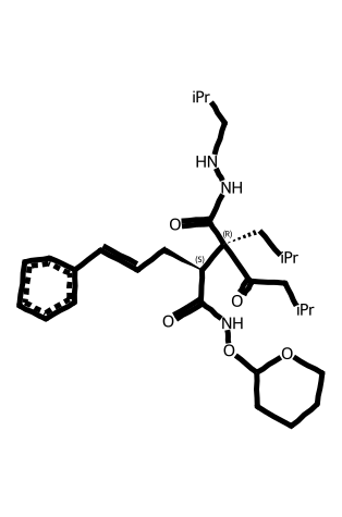 CC(C)CNNC(=O)[C@@](CC(C)C)(C(=O)CC(C)C)[C@H](CC=Cc1ccccc1)C(=O)NOC1CCCCO1